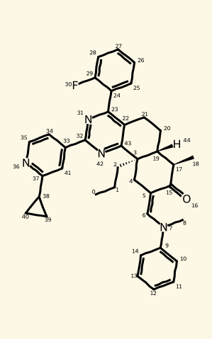 CCC[C@@]12C/C(=C/N(C)c3ccccc3)C(=O)[C@H](C)[C@H]1CCc1c(-c3ccccc3F)nc(-c3ccnc(C4CC4)c3)nc12